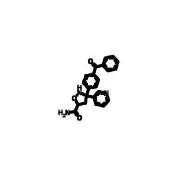 NC(=O)C1CC(c2ccc(C(=O)c3ccccc3)cc2)(c2cccnc2)NO1